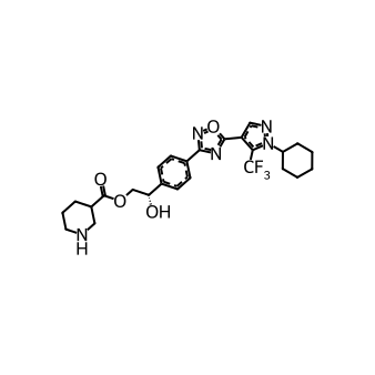 O=C(OC[C@@H](O)c1ccc(-c2noc(-c3cnn(C4CCCCC4)c3C(F)(F)F)n2)cc1)C1CCCNC1